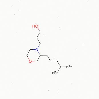 CCCC(CCC)CCCC1COCCN1CCCO